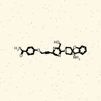 NC(=O)c1ccc(OCC#Cc2cnc(N3CCC4(CC3)Oc3ccccc3[C@H]4N)c(CO)n2)cc1